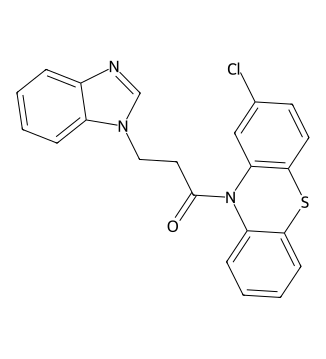 O=C(CCn1cnc2ccccc21)N1c2ccccc2Sc2ccc(Cl)cc21